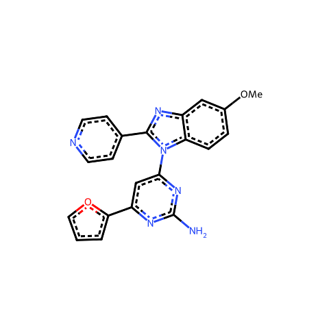 COc1ccc2c(c1)nc(-c1ccncc1)n2-c1cc(-c2ccco2)nc(N)n1